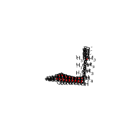 C[S+](C)c1ccc(O)cc1.C[S+](C)c1ccc(O)cc1.C[S+](C)c1ccc(O)cc1.C[S+](C)c1ccc(O)cc1.C[S+](C)c1ccc(O)cc1.C[S+](C)c1ccc(O)cc1.C[S+](C)c1ccc(O)cc1.C[S+](C)c1ccc(O)cc1.C[S+](C)c1ccc(O)cc1.C[S+](C)c1ccc(O)cc1.C[S+](C)c1ccc(O)cc1.C[S+](C)c1ccc(O)cc1.O=[As]([O-])([O-])F.O=[As]([O-])([O-])F.O=[As]([O-])([O-])F.O=[As]([O-])([O-])F.O=[As]([O-])([O-])F.O=[As]([O-])([O-])F